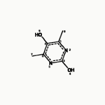 Cc1nc(O)nc(C)c1O